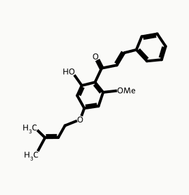 COc1cc(OCC=C(C)C)cc(O)c1C(=O)C=Cc1ccccc1